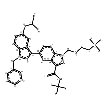 CC(C)(C)NC(=O)c1cn(COCC[Si](C)(C)C)c2ncc(-c3nn(Cc4cccnc4)c4ccc(OC(F)F)cc34)nc12